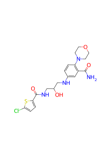 NC(=O)c1cc(NCC(O)CNC(=O)c2ccc(Cl)s2)ccc1N1CCOCC1